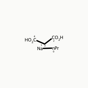 CC[CH2][Na].O=C(O)CC(=O)O